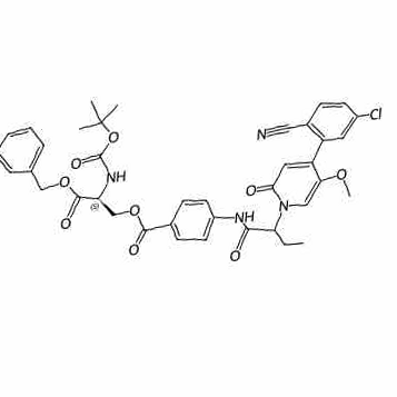 CCC(C(=O)Nc1ccc(C(=O)OC[C@H](NC(=O)OC(C)(C)C)C(=O)OCc2ccccc2)cc1)n1cc(OC)c(-c2cc(Cl)ccc2C#N)cc1=O